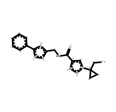 O=C(NCc1nnc(-c2ccccc2)s1)c1cn(C2(CF)CC2)nn1